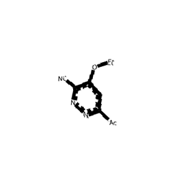 CCOc1cc(C(C)=O)nnc1C#N